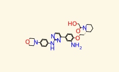 Nc1cc(-c2ccnc(Nc3ccc(N4CCOCC4)cc3)n2)ccc1OCC[C@H]1CCCCN1C(=O)CO